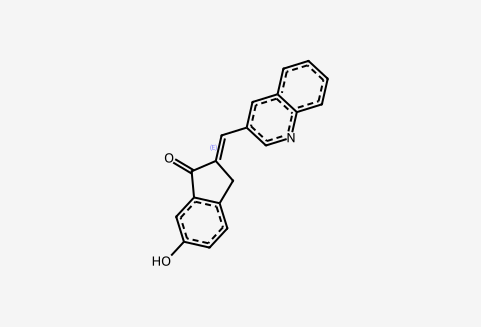 O=C1/C(=C/c2cnc3ccccc3c2)Cc2ccc(O)cc21